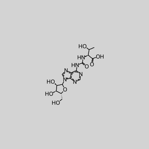 CC(O)[C@H](NC(=O)Nc1ncnc2c1ncn2C1O[C@H](CO)[C@@H](O)[C@H]1O)C(=O)O